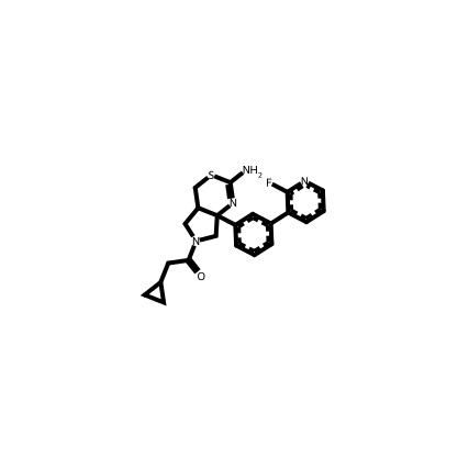 NC1=NC2(c3cccc(-c4cccnc4F)c3)CN(C(=O)CC3CC3)CC2CS1